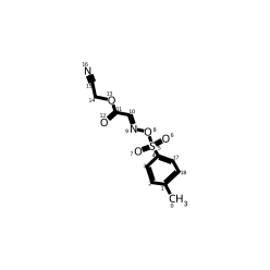 Cc1ccc(S(=O)(=O)ON=CC(=O)OCC#N)cc1